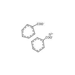 O=C([O-])c1ccccc1.O=C([O-])c1ccccc1.[S+2]